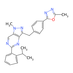 Cc1nnc(-c2ccc(Cc3nn(C)c4cnc(-c5ccccc5C(C)C)nc34)cc2)o1